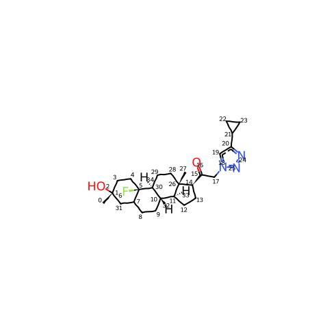 C[C@@]1(O)CC[C@@]2(F)C(CC[C@H]3[C@@H]4CC[C@H](C(=O)Cn5cc(C6CC6)nn5)[C@@]4(C)CC[C@@H]32)C1